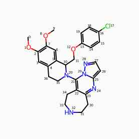 COc1cc2c(cc1OC)C(COc1ccc(Cl)cc1)N(c1c3c(nc4ccnn14)CCNCC3)CC2